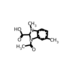 CC(=O)N1c2cc(C)ccc2N(C)C1C(=O)O